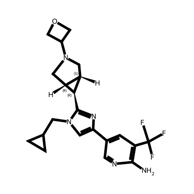 Nc1ncc(-c2cn(CC3CC3)c([C@H]3[C@@H]4CN(C5COC5)C[C@@H]43)n2)cc1C(F)(F)F